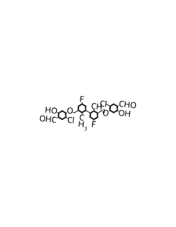 Cc1c(COc2cc(O)c(C=O)cc2Cl)cc(F)cc1-c1cc(F)cc(COc2cc(O)c(C=O)cc2Cl)c1C